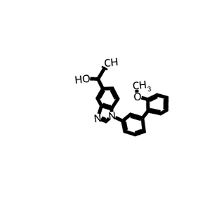 C#CC(O)c1ccc2c(c1)ncn2-c1cccc(-c2ccccc2OC)c1